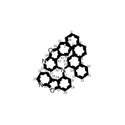 c1ccc2c(c1)ccc1c3ccccc3c(N(c3cccc4oc5ncccc5c34)c3ccnc4oc5ccccc5c34)cc21